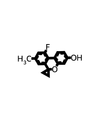 Cc1cc(F)c2c(c1)C1(CC1)Oc1cc(O)ccc1-2